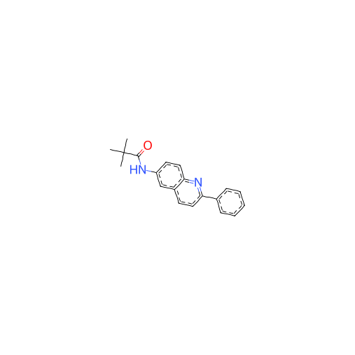 CC(C)(C)C(=O)Nc1ccc2nc(-c3ccccc3)ccc2c1